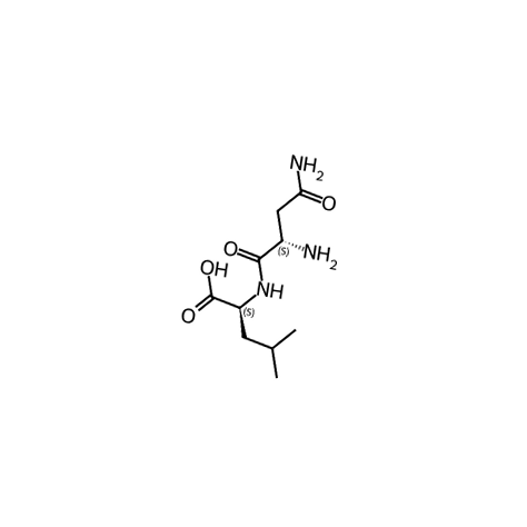 CC(C)C[C@H](NC(=O)[C@@H](N)CC(N)=O)C(=O)O